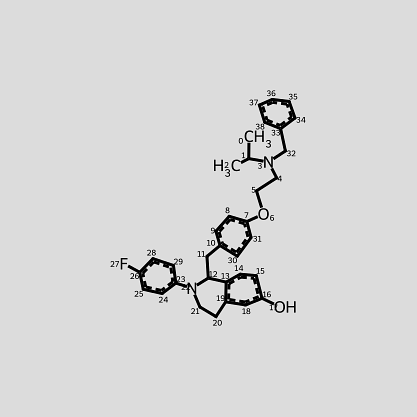 CC(C)N(CCOc1ccc(CC2c3ccc(O)cc3CCN2c2ccc(F)cc2)cc1)Cc1ccccc1